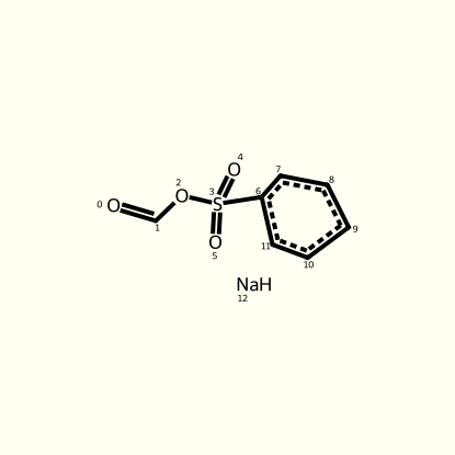 O=COS(=O)(=O)c1ccccc1.[NaH]